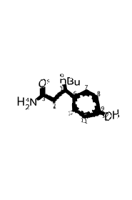 CCCCC(CC(N)=O)c1ccc(O)cc1